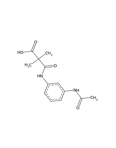 CC(=O)Nc1cccc(NC(=O)C(C)(C)C(=O)O)c1